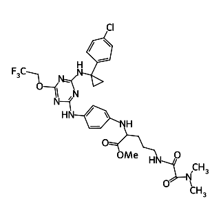 COC(=O)C(CCCNC(=O)C(=O)N(C)C)Nc1ccc(Nc2nc(NC3(c4ccc(Cl)cc4)CC3)nc(OCC(F)(F)F)n2)cc1